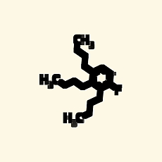 CCCCc1c[c]c(F)c(CCCC)c1CCCC